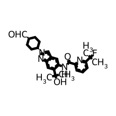 CC(C)(O)c1cc2nn([C@H]3CC[C@H](C=O)CC3)cc2cc1NC(=O)c1cccc(C(C)(C)F)n1